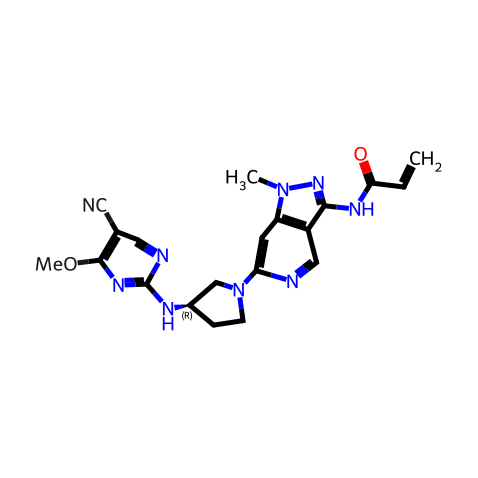 C=CC(=O)Nc1nn(C)c2cc(N3CC[C@@H](Nc4ncc(C#N)c(OC)n4)C3)ncc12